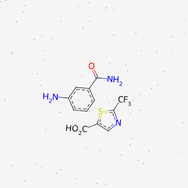 NC(=O)c1cccc(N)c1.O=C(O)c1cnc(C(F)(F)F)s1